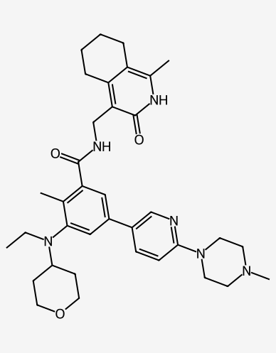 CCN(c1cc(-c2ccc(N3CCN(C)CC3)nc2)cc(C(=O)NCc2c3c(c(C)[nH]c2=O)CCCC3)c1C)C1CCOCC1